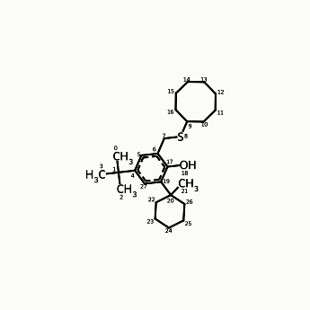 CC(C)(C)c1cc(CSC2CCCCCCC2)c(O)c(C2(C)CCCCC2)c1